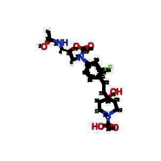 CC(=O)NC[C@H]1CN(c2ccc(CCC3(O)CCN(C(=O)O)CC3)c(F)c2)C(=O)O1